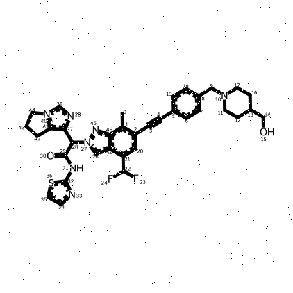 Cc1c(C#Cc2ccc(CN3CCC(CO)CC3)cc2)cc(C(F)F)c2cn(C(C(=O)Nc3nccs3)c3ncn4c3CCC4)nc12